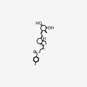 C=C1/C(=C\C=C2/CCC[C@]3(C)[C@@H]([C@H](C)CC[S+]([O-])c4ccc(C)cc4)CC[C@@H]23)C[C@@H](O)C[C@@H]1O